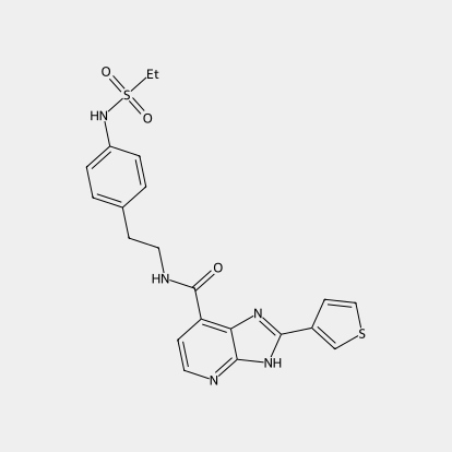 CCS(=O)(=O)Nc1ccc(CCNC(=O)c2ccnc3[nH]c(-c4ccsc4)nc23)cc1